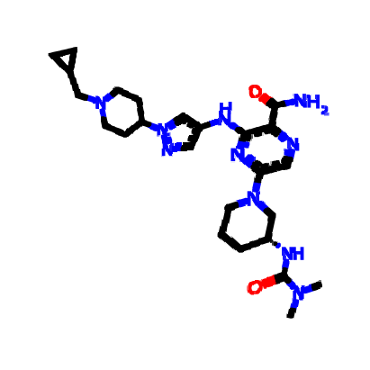 CN(C)C(=O)N[C@@H]1CCCN(c2cnc(C(N)=O)c(Nc3cnn(C4CCN(CC5CC5)CC4)c3)n2)C1